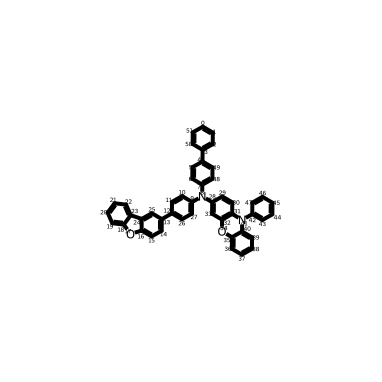 c1ccc(-c2ccc(N(c3ccc(-c4ccc5oc6ccccc6c5c4)cc3)c3ccc4c(c3)Oc3ccccc3N4c3ccccc3)cc2)cc1